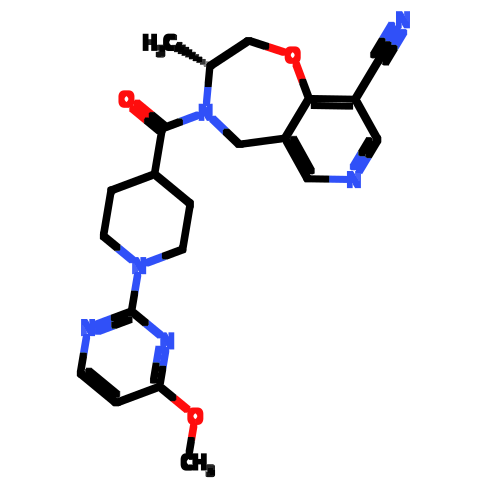 COc1ccnc(N2CCC(C(=O)N3Cc4cncc(C#N)c4OC[C@H]3C)CC2)n1